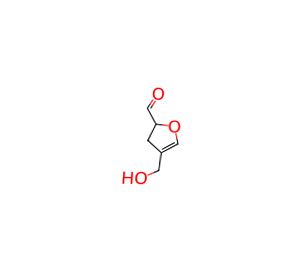 O=CC1CC(CO)=CO1